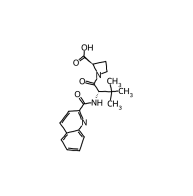 CC(C)(C)[C@H](NC(=O)c1ccc2ccccc2n1)C(=O)N1CC[C@@H]1C(=O)O